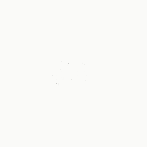 COC(=O)c1cccc(CO/C(=N\C(C)C)NC(C)C)c1